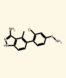 Cc1c(-c2ccc(SN)cc2Cl)ccc2[nH]nc(N)c12